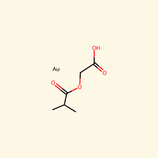 CC(C)C(=O)OCC(=O)O.[Au]